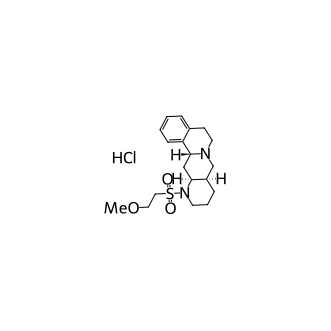 COCCS(=O)(=O)N1CCC[C@@H]2CN3CCc4ccccc4[C@H]3C[C@@H]21.Cl